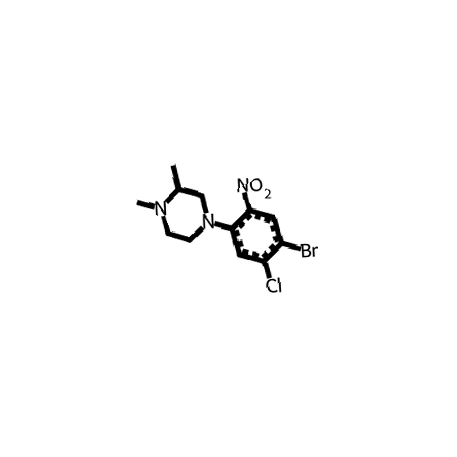 CC1CN(c2cc(Cl)c(Br)cc2[N+](=O)[O-])CCN1C